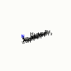 BBBBBBBBBBBBC([CH2])C#N